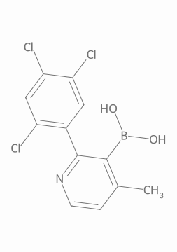 Cc1ccnc(-c2cc(Cl)c(Cl)cc2Cl)c1B(O)O